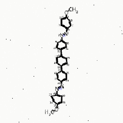 COc1ccc(/N=N/c2ccc(-c3ccc(-c4ccc(/N=N/c5ccc(OC)cc5)cc4)cc3)cc2)cc1